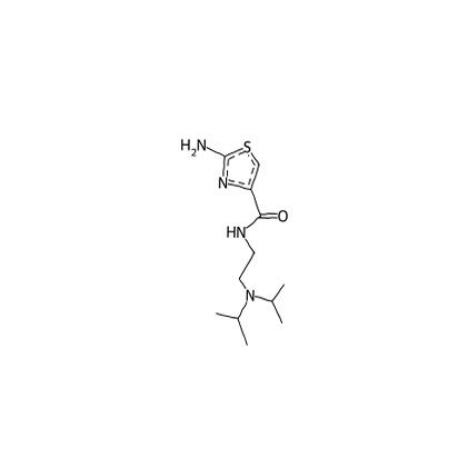 CC(C)N(CCNC(=O)c1csc(N)n1)C(C)C